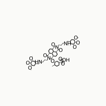 COc1cc(CNCCCN2C(=O)c3ccc4c5c(ccc(c35)C2=O)C(=O)N(CCCNCc2cc(OC)c(OC)c(OC)c2)C4=O)cc(OC)c1OC.Cc1ccc(S(=O)(=O)O)cc1